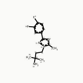 Cc1nc(-c2ccc(F)c(F)c2)nn1CCC(C)(C)N